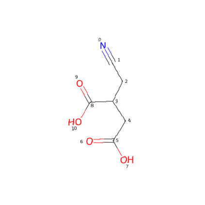 N#CCC(CC(=O)O)C(=O)O